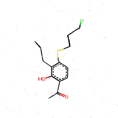 CCCc1c(SCCCCl)ccc(C(C)=O)c1O